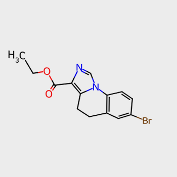 CCOC(=O)c1ncn2c1CCc1cc(Br)ccc1-2